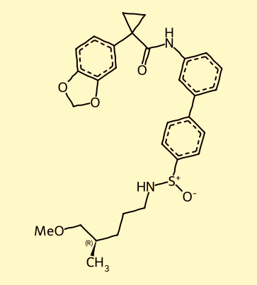 COC[C@H](C)CCCN[S+]([O-])c1ccc(-c2cccc(NC(=O)C3(c4ccc5c(c4)OCO5)CC3)c2)cc1